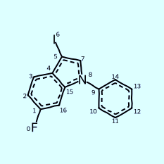 Fc1ccc2c(I)cn(-c3ccccc3)c2c1